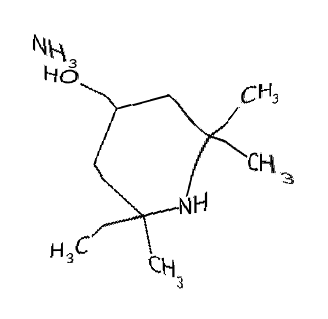 CC1(C)CC(O)CC(C)(C)N1.N